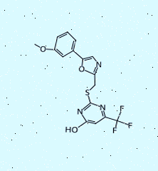 COc1cccc(-c2cnc(CSc3nc(O)cc(C(F)(F)F)n3)o2)c1